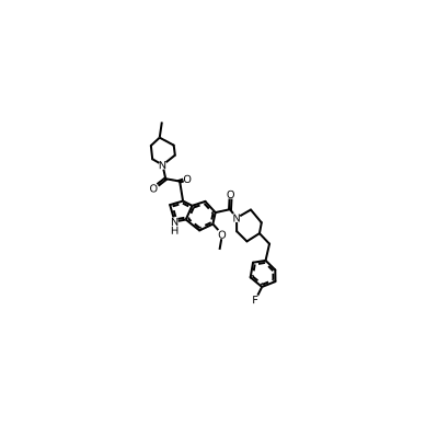 COc1cc2[nH]cc(C(=O)C(=O)N3CCC(C)CC3)c2cc1C(=O)N1CCC(Cc2ccc(F)cc2)CC1